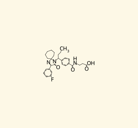 CCCC(c1ccc(C(=O)NCCC(=O)O)cc1)N1C(=O)C(c2cccc(F)c2)=NC12CCCCCC2